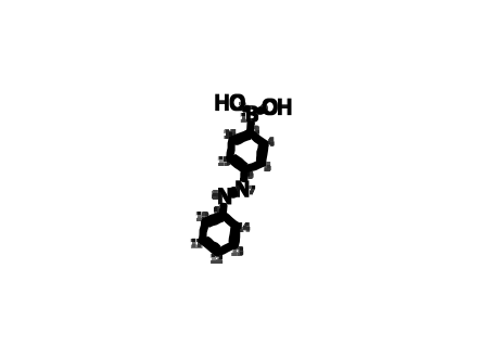 OB(O)c1ccc(/N=N/c2ccccc2)cc1